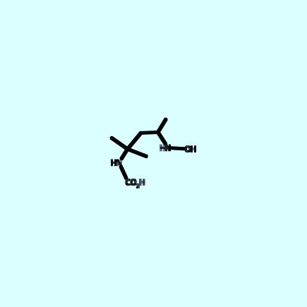 CC(CC(C)(C)NC(=O)O)NO